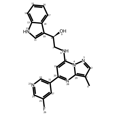 Cc1cnn2c(NC[C@H](O)c3c[nH]c4ccccc34)cc(-c3cncc(F)c3)nc12